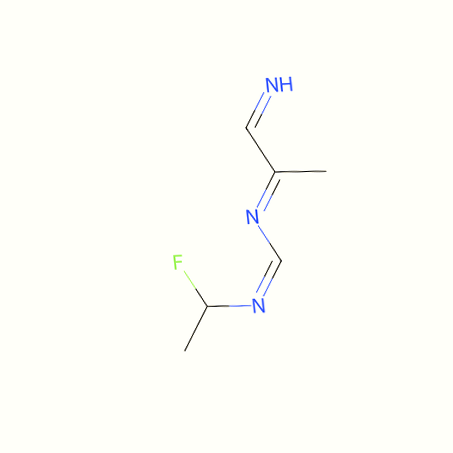 C/C(C=N)=N\C=N/C(C)F